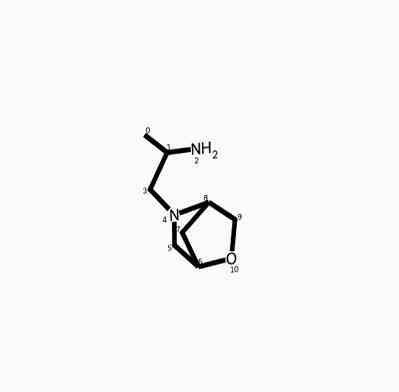 CC(N)CN1CC2CC1CO2